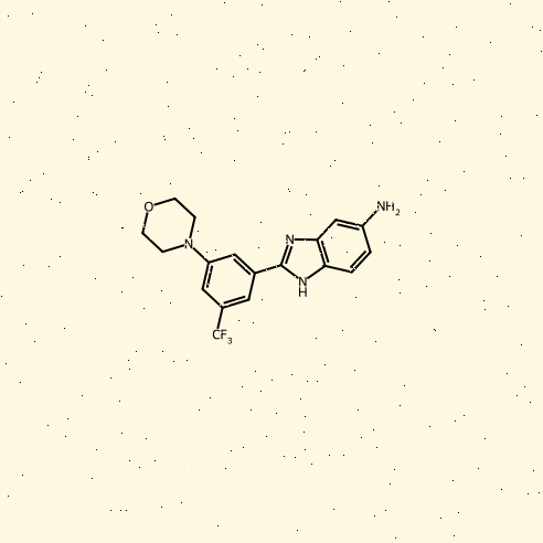 Nc1ccc2[nH]c(-c3cc(N4CCOCC4)cc(C(F)(F)F)c3)nc2c1